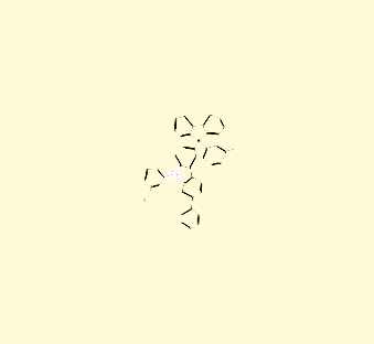 Cc1cccc(C2(c3ccc4c(c3)c3ccc(-c5ccccc5)cc3n4-c3cccc(Br)c3)c3ccccc3-c3ccccc32)c1